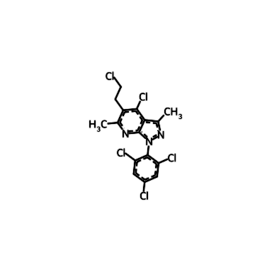 Cc1nc2c(c(C)nn2-c2c(Cl)cc(Cl)cc2Cl)c(Cl)c1CCCl